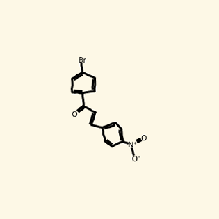 O=C(C=Cc1ccc([N+](=O)[O-])cc1)c1ccc(Br)cc1